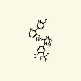 Fc1ccc(-c2ncccc2CNc2nnnn2-c2ccc(Cl)c(C(F)(F)F)c2)cn1